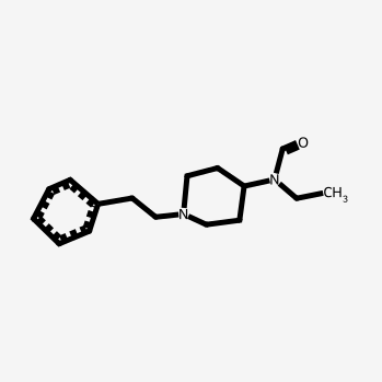 CCN(C=O)C1CCN(CCc2ccccc2)CC1